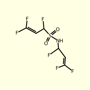 O=S(=O)(NC(F)C=C(F)F)C(F)C=C(F)F